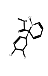 CNC(=S)[C@@]1(C2C=CC(Cl)C(Cl)C2)C=CC=C[S@+]1[O-]